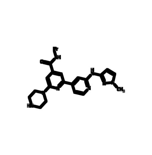 CC(C)NC(=O)c1cc(-c2ccnc(Nc3ccn(C)n3)c2)nc(N2CCNCC2)c1